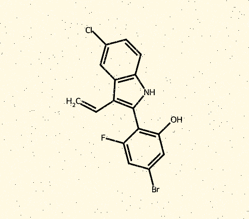 C=Cc1c(-c2c(O)cc(Br)cc2F)[nH]c2ccc(Cl)cc12